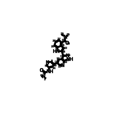 CN(C)C(=O)Nc1cncc(-c2cnc3[nH]nc(-c4cc5c(C(=O)N(C)C)cccc5[nH]4)c3c2)c1